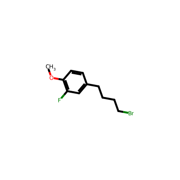 COc1ccc(CCCCBr)cc1F